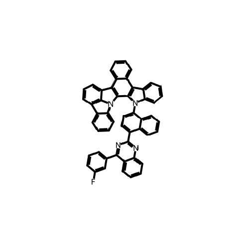 Fc1cccc(-c2nc(-c3ccc(-n4c5ccccc5c5c6ccccc6c6c7cccc8c9ccccc9n(c87)c6c54)c4ccccc34)nc3ccccc23)c1